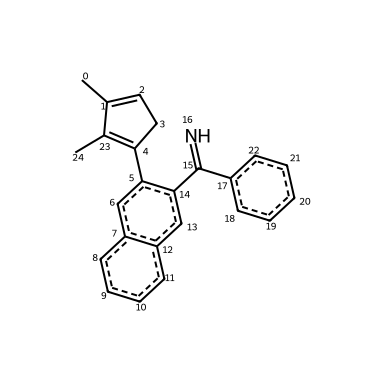 CC1=CCC(c2cc3ccccc3cc2C(=N)c2ccccc2)=C1C